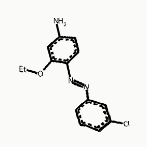 CCOc1cc(N)ccc1/N=N/c1cccc(Cl)c1